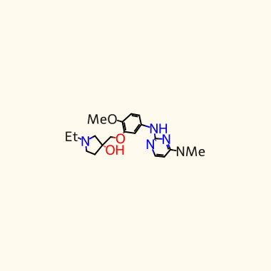 CCN1CC[C@](O)(COc2cc(Nc3nccc(NC)n3)ccc2OC)C1